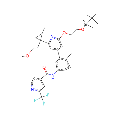 COCCC1(c2cc(-c3cc(NC(=O)c4ccnc(C(F)(F)F)c4)ccc3C)cc(OCCO[Si](C)(C)C(C)(C)C)n2)CC1C